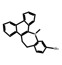 CN1c2cc(C(C)(C)C)ccc2CCc2c1c1ccccc1c1ccccc21